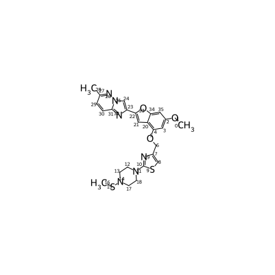 COc1cc(OCc2csc(N3CCN(SC)CC3)n2)c2cc(-c3cn4nc(C)ccc4n3)oc2c1